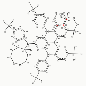 CC(C)(C)c1ccc(N2c3ccc(C(C)(C)C)cc3B3c4cc5c(cc4N(c4ccc(C(C)(C)C)cc4-c4ccccc4)c4cc(N6c7ccc(C(C)(C)C)cc7C7(C)CCCCCCC67C)cc2c43)C(C)(C)CCC5(C)C)cc1